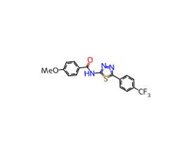 COc1ccc(C(=O)Nc2nnc(-c3ccc(C(F)(F)F)cc3)s2)cc1